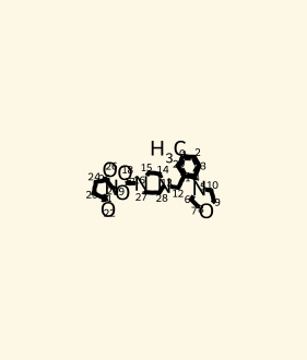 Cc1ccc(N2CCOCC2)c(CN2CCN(C(=O)ON3C(=O)CCC3=O)CC2)c1